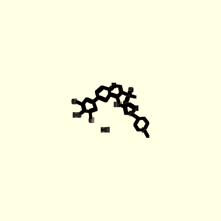 CN1CCC(n2cc(Nc3c(S(C)(=O)=O)cnc4ccc(-c5cc(Cl)c(O)c(Cl)c5)cc34)cn2)CC1.Cl